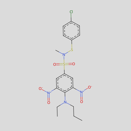 CCCN(CC)c1c([N+](=O)[O-])cc(S(=O)(=O)N(C)Sc2ccc(Cl)cc2)cc1[N+](=O)[O-]